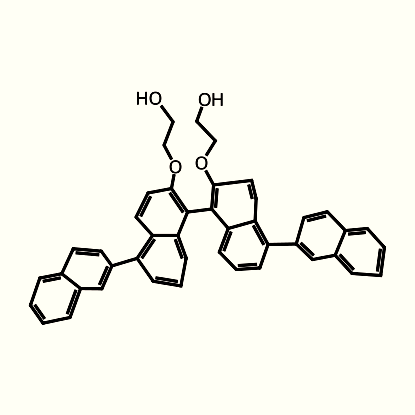 OCCOc1ccc2c(-c3ccc4ccccc4c3)cccc2c1-c1c(OCCO)ccc2c(-c3ccc4ccccc4c3)cccc12